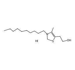 CCCCCCCCCCN1CSC(CCO)=C1C.I